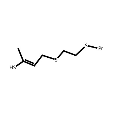 C/C(S)=C\CSCCSC(C)C